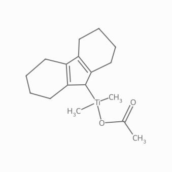 CC(=O)[O][Ti]([CH3])([CH3])[CH]1C2=C(CCCC2)C2=C1CCCC2